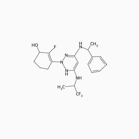 CC(NC1=NN(C2=C(F)C(O)CCC2)NC(NC(C)C(F)(F)F)=C1)c1ccccc1